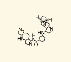 O=C(Nc1nccc2c1CCc1cnccc1N2)c1cccc(Nc2ccnc3ccc([C@@]45C[C@@H]4[C@H]4CC[C@H]5COC4)cc23)c1